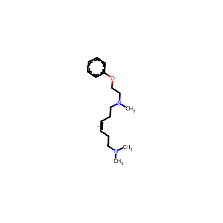 CN(C)CC/C=C\CCN(C)CCOc1ccccc1